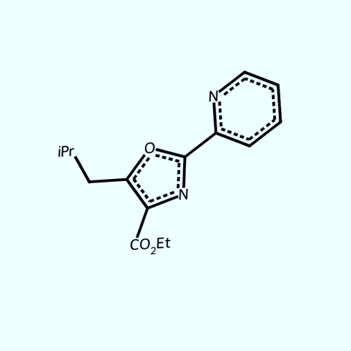 CCOC(=O)c1nc(-c2ccccn2)oc1CC(C)C